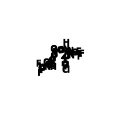 O=C(Nc1cc(F)cc(F)c1)C(=O)N1CC2CN(C(=O)c3ccc(Nc4nc(CC5(c6ccc(Cl)cc6)CC5)nc(OCC(F)(F)F)n4)cc3)CC2C1